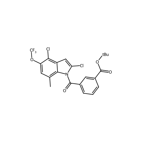 Cc1cc(OC(F)(F)F)c(Cl)c2cc(Cl)n(C(=O)c3cccc(C(=O)OC(C)(C)C)c3)c12